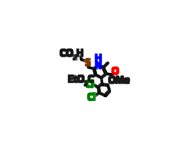 CCOC(=O)C1=C(CSCC(=O)O)NC(C)=C(C(=O)OC)C1c1cccc(Cl)c1Cl